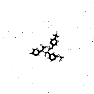 Cc1ccc([C@H](N[C@@H](CCc2ccc(C(F)(F)F)cc2)c2cccc(OC(F)F)c2)C(N)=O)cc1